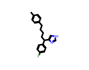 Cc1ccc(CCCCC(c2ccc(F)cc2)c2c[nH]cn2)cc1